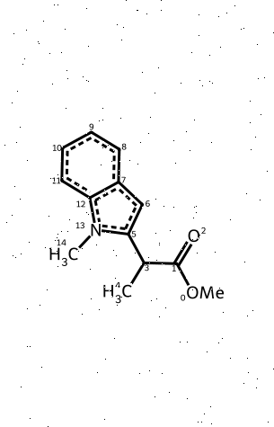 COC(=O)C(C)c1cc2ccccc2n1C